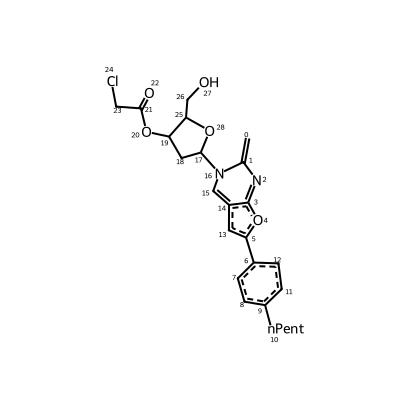 C=C1N=c2oc(-c3ccc(CCCCC)cc3)cc2=CN1C1CC(OC(=O)CCl)C(CO)O1